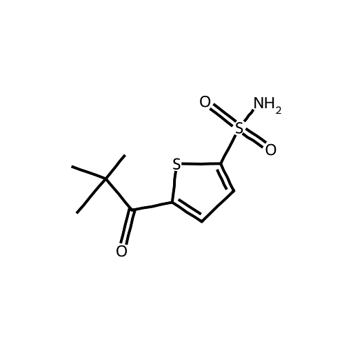 CC(C)(C)C(=O)c1ccc(S(N)(=O)=O)s1